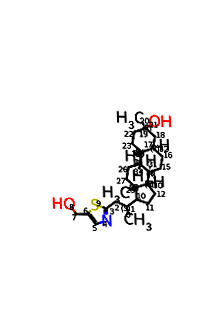 C[C@@H](Cc1ncc(CO)s1)C1CC[C@H]2[C@@H]3CC[C@@H]4C[C@](C)(O)CC[C@@H]4[C@H]3CC[C@]12C